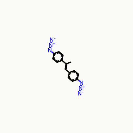 C/C(=C\c1ccc(N=[N+]=[N-])cc1)c1ccc(N=[N+]=[N-])cc1